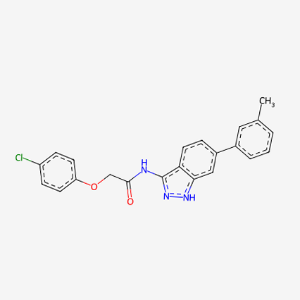 Cc1cccc(-c2ccc3c(NC(=O)COc4ccc(Cl)cc4)n[nH]c3c2)c1